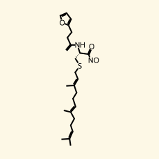 C=C(CCc1ccco1)N[C@@H](CSC/C=C(\C)CC/C=C(\C)CCC=C(C)C)C(=O)N=O